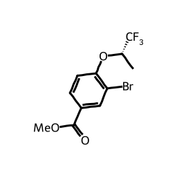 COC(=O)c1ccc(O[C@@H](C)C(F)(F)F)c(Br)c1